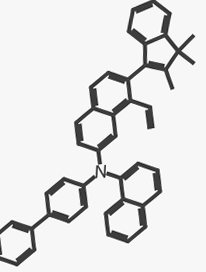 C=Cc1c(C2=C(C)C(C)(C)c3ccccc32)ccc2ccc(N(c3ccc(-c4ccccc4)cc3)c3cccc4ccccc34)cc12